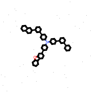 c1ccc(-c2cccc(-c3ccc(N(c4ccc(-c5cccc(-c6ccc7ccccc7c6)c5)cc4)c4ccc(-c5ccc6c(c5)oc5ccccc56)cc4)cc3)c2)cc1